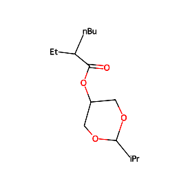 CCCCC(CC)C(=O)OC1COC(C(C)C)OC1